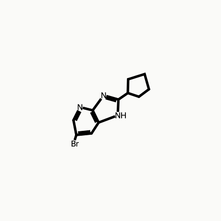 Brc1cnc2nc(C3CCCC3)[nH]c2c1